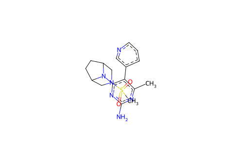 Cc1nc(N)nc(N2C3CCC2CN(S(C)(=O)=O)C3)c1-c1cccnc1